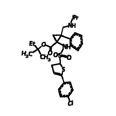 CCC(C)(C)OC(=O)C1(NS(=O)(=O)C2CC=C(c3ccc(Cl)cc3)S2)CC1(CNC(C)C)c1ccccc1